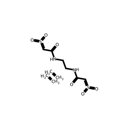 C=C.C=C.O=C(C=S(=O)=O)NCCNC(=O)C=S(=O)=O